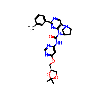 CC1(C)OC[C@H](COc2cc(NC(=O)N3c4nc(-c5cccc(C(F)(F)F)c5)ncc4N4CCC3C4)ncn2)O1